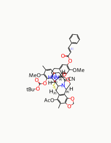 COc1cc2c(cc1OC(=O)/C=C/c1ccccc1)CCN[C@]21CS[C@@H]2c3c(OC(C)=O)c(C)c4c(c3[C@H](COC1=O)N1C2[C@@H]2c3c(cc(C)c(OC)c3OC(=O)OC(C)(C)C)C[C@H]([C@@H]1C#N)N2C)OCO4